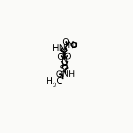 C=CC(=O)Nc1cc2c(s1)CN(S(=O)(=O)c1c[nH]c(C(=O)N3CCCC3)c1)C2